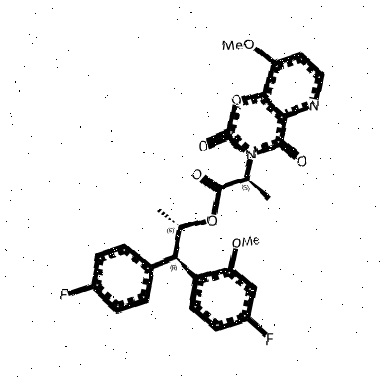 COc1cc(F)ccc1[C@@H](c1ccc(F)cc1)[C@H](C)OC(=O)[C@H](C)n1c(=O)oc2c(OC)ccnc2c1=O